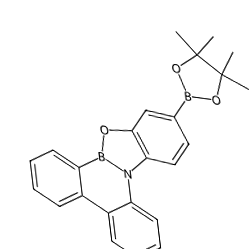 CC1(C)OB(c2ccc3c(c2)OB2c4ccccc4-c4ccccc4N23)OC1(C)C